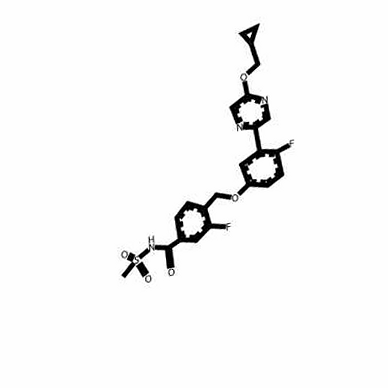 CS(=O)(=O)NC(=O)c1ccc(COc2ccc(F)c(-c3cnc(OCC4CC4)cn3)c2)c(F)c1